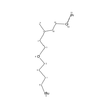 CC(CCOCCCCC(C)(C)C)CCOC(C)C